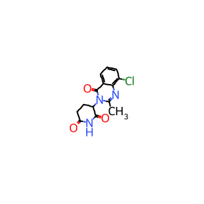 Cc1nc2c(Cl)cccc2c(=O)n1C1CCC(=O)NC1=O